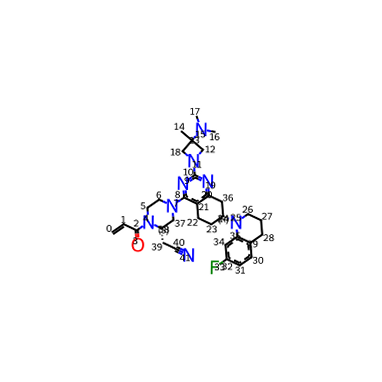 C=CC(=O)N1CCN(c2nc(N3CC(C)(N(C)C)C3)nc3c2CC[C@@H](N2CCCc4ccc(F)cc42)C3)C[C@@H]1CC#N